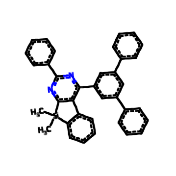 C[Si]1(C)c2ccccc2-c2c(-c3cc(-c4ccccc4)cc(-c4ccccc4)c3)nc(-c3ccccc3)nc21